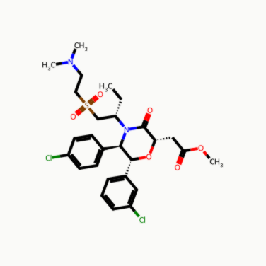 CC[C@@H](CS(=O)(=O)CCN(C)C)N1C(=O)[C@H](CC(=O)OC)O[C@H](c2cccc(Cl)c2)[C@H]1c1ccc(Cl)cc1